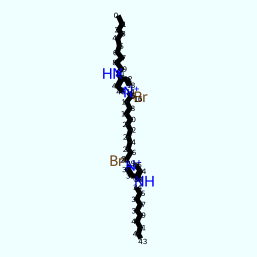 CCCCCCCCCCNc1cc[n+](C(Br)CCCCCCCCCCC(Br)[n+]2ccc(NCCCCCCCCCC)cc2)cc1